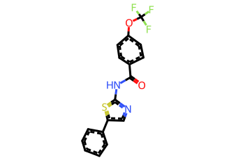 O=C(Nc1ncc(-c2ccccc2)s1)c1ccc(OC(F)(F)F)cc1